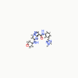 Cn1cnc(-c2cccc(NC(=O)c3cnn4ccc(NC5CCOCC5)nc34)c2)n1